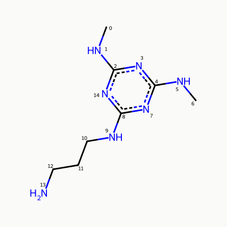 CNc1nc(NC)nc(NCCCN)n1